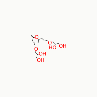 C=C(CCCOCC(O)CO)OC(=C)CCCOCC(O)CO